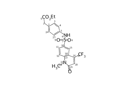 CCOC(=O)Cc1ccc(NS(=O)(=O)c2ccc3c(c2)c(C(F)(F)F)cc(=O)n3C)cc1